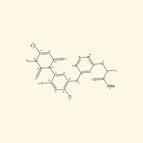 COC(=O)C(C)Oc1cc(Oc2cc(-n3c(=O)cc(C(F)(F)F)n(C)c3=O)c(F)cc2Cl)ncn1